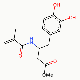 C=C(C)C(=O)NC(CC(=O)OC)Cc1ccc(O)c(O)c1